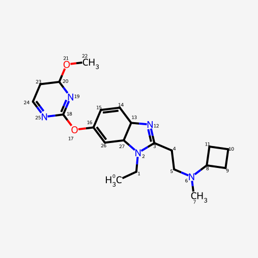 CCN1C(CCN(C)C2CCC2)=NC2C=CC(OC3=NC(OC)CC=N3)=CC21